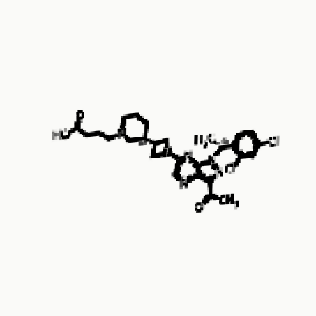 CC(=O)c1nn([C@H](C)c2ccc(Cl)cc2Cl)c2nc(N3CC([C@@H]4CCCN(CCCC(=O)O)C4)C3)cnc12